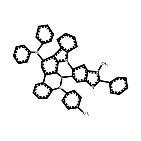 Cc1ccc(N2B3c4cc5nc(-c6ccccc6)n(C)c5cc4-n4c5ccccc5c5c(N(c6ccccc6)c6ccccc6)cc(c3c54)-c3ccccc32)cc1